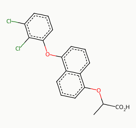 CC(Oc1cccc2c(Oc3cccc(Cl)c3Cl)cccc12)C(=O)O